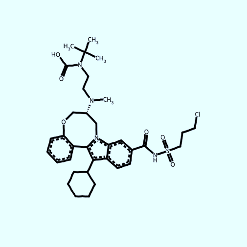 CN(CCN(C(=O)O)C(C)(C)C)[C@H]1COc2ccccc2-c2c(C3CCCCC3)c3ccc(C(=O)NS(=O)(=O)CCCCl)cc3n2C1